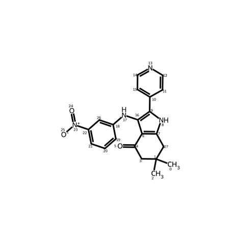 CC1(C)CC(=O)c2c([nH]c(-c3ccncc3)c2Nc2cccc([N+](=O)[O-])c2)C1